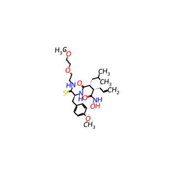 C=CC[C@H](C(=O)NO)[C@@H](CC(C)C)C(=O)N[C@@H](Cc1ccc(OC)cc1)C(=S)NCCOCCOC